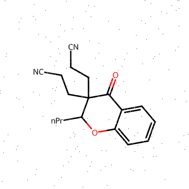 CCCC1Oc2ccccc2C(=O)C1(CCC#N)CCC#N